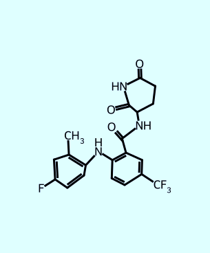 Cc1cc(F)ccc1Nc1ccc(C(F)(F)F)cc1C(=O)NC1CCC(=O)NC1=O